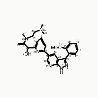 C=C(C(O)c1cccc(-c2cnc3[nH]nc(-c4ccccc4OC)c3c2)n1)N(C)CCN(C)C